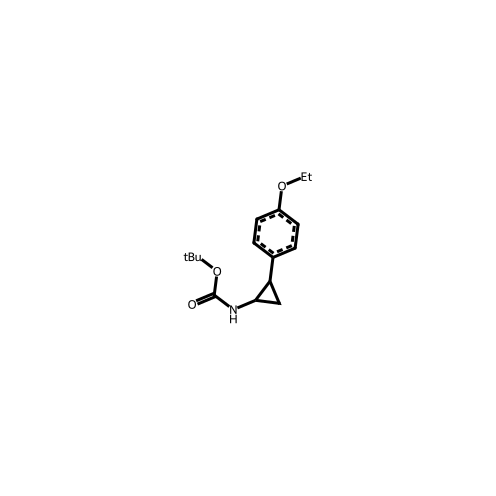 CCOc1ccc(C2CC2NC(=O)OC(C)(C)C)cc1